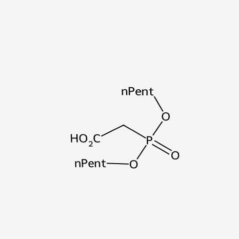 CCCCCOP(=O)(CC(=O)O)OCCCCC